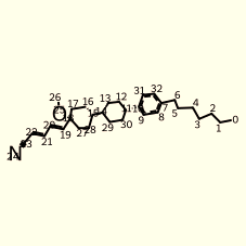 CCCCCCCc1ccc([C@H]2CC[C@H]([C@H]3CC[C@@](C=CC=CC#N)(OC)CC3)CC2)cc1